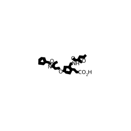 Cc1cc(C(=O)NCc2cc(OCCc3nc(-c4ccccc4)oc3C)ccc2CCC(=O)O)co1